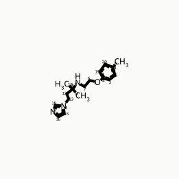 Cc1ccc(OCCNC(C)(C)CCn2ccnc2)cc1